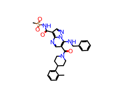 Cc1ccccc1C1CCN(C(=O)c2cnc3c(C(=O)NS(C)(=O)=O)cnn3c2NCc2ccccc2)CC1